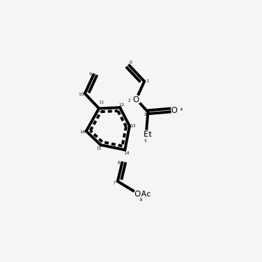 C=COC(=O)CC.C=COC(C)=O.C=Cc1ccccc1